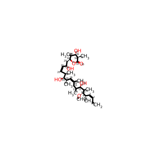 C=C/C=C\[C@H](C)[C@H](OC=O)C(C)[C@H](O)C(C)C/C(C)=C\[C@H](C)[C@@H](O)[C@@H](C)/C=C\[C@@H](O)C[C@@H]1OC(=O)[C@H](C)[C@@H](O)C1C